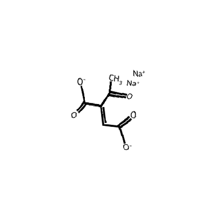 CC(=O)/C(=C\C(=O)[O-])C(=O)[O-].[Na+].[Na+]